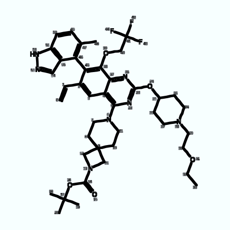 C=Cc1cc2c(N3CCC4(CC3)CN(C(=O)OC(C)(C)C)C4)nc(OC3CCN(CCOCC)CC3)nc2c(OCC(F)(F)F)c1-c1c(C)ccc2[nH]ncc12